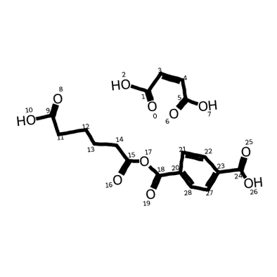 O=C(O)/C=C\C(=O)O.O=C(O)CCCCC(=O)OC(=O)c1ccc(C(=O)O)cc1